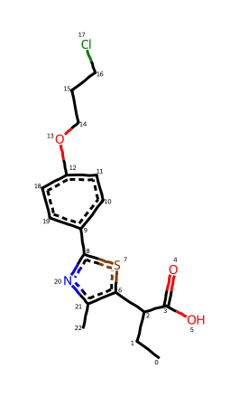 CCC(C(=O)O)c1sc(-c2ccc(OCCCCl)cc2)nc1C